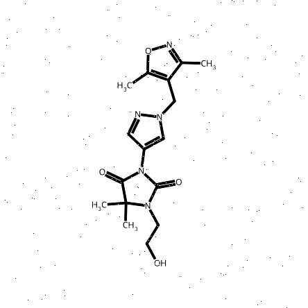 Cc1noc(C)c1Cn1cc(N2C(=O)N(CCO)C(C)(C)C2=O)cn1